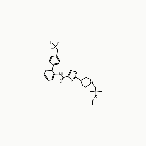 CSSC(C)(C)CN1CCC(c2nc(C(=O)Nc3ccccc3-c3ccc(CC(F)(F)F)cc3)cs2)CC1